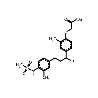 CCC(CCc1ccc(NS(C)(=O)=O)c(C)c1)c1ccc(OCC(=O)C(C)(C)C)c(C)c1